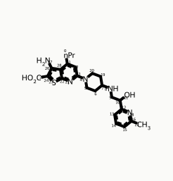 CCCc1cc(N2CCC(NCC(O)c3cccc(C)n3)CC2)nc2sc(C(=O)O)c(N)c12